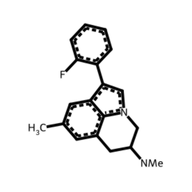 CNC1Cc2cc(C)cc3c(-c4ccccc4F)cn(c23)C1